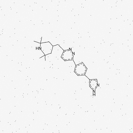 CC1(C)CC(Cc2ccc(-c3ccc(-c4cn[nH]c4)cc3)nn2)CC(C)(C)N1